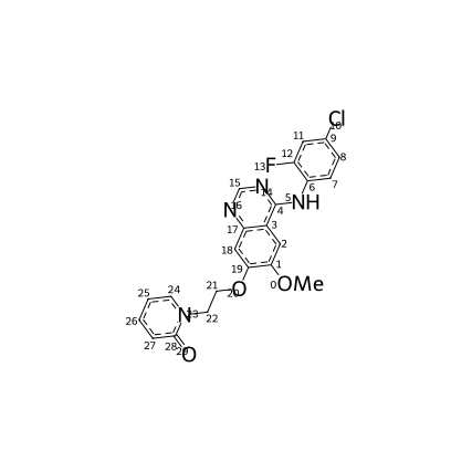 COc1cc2c(Nc3ccc(Cl)cc3F)ncnc2cc1OCCn1ccccc1=O